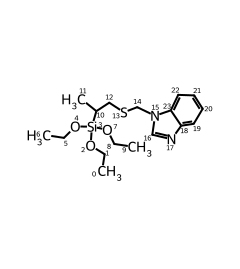 CCO[Si](OCC)(OCC)C(C)CSCn1cnc2ccccc21